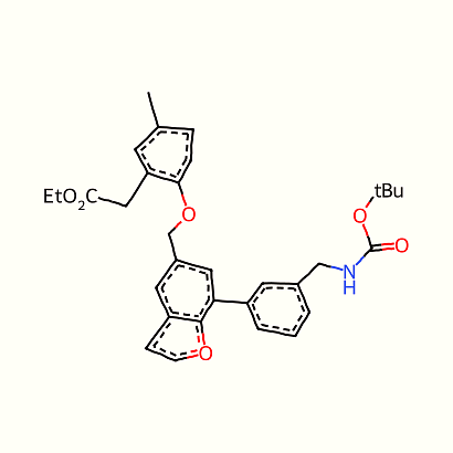 CCOC(=O)Cc1cc(C)ccc1OCc1cc(-c2cccc(CNC(=O)OC(C)(C)C)c2)c2occc2c1